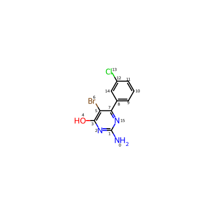 Nc1nc(O)c(Br)c(-c2cccc(Cl)c2)n1